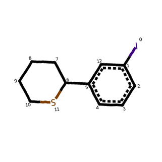 Ic1cccc(C2CCCCS2)c1